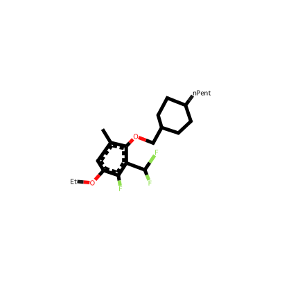 CCCCCC1CCC(COc2c(C)cc(OCC)c(F)c2C(F)F)CC1